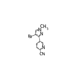 Cn1cc(Br)c(-c2ccc(C#N)nc2)n1